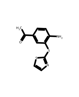 CC(=O)c1ccc(N)c(Sc2nccs2)c1